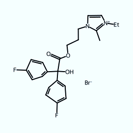 CC[n+]1ccn(CCCOC(=O)C(O)(c2ccc(F)cc2)c2ccc(F)cc2)c1C.[Br-]